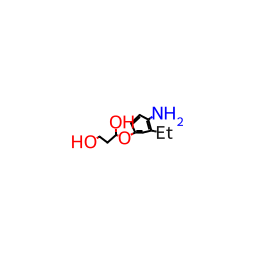 CCc1cc(OC(O)CCO)ccc1N